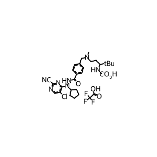 CN(CCC(NC(=O)O)C(C)(C)C)Cc1ccc(C(=O)NN(c2nc(C#N)ncc2Cl)C2CCCC2)cc1.O=C(O)C(F)(F)F